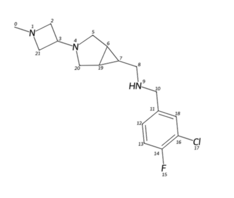 CN1CC(N2CC3C(CNCc4ccc(F)c(Cl)c4)C3C2)C1